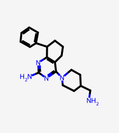 NCC1CCN(c2nc(N)nc3c2CCCC3c2ccccc2)CC1